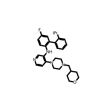 CC(C)c1ccccc1-c1cc(F)ccc1Nc1cnccc1N1CCN(CC2CCOCC2)CC1